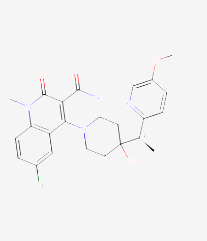 C[C@H](c1ccc(OC(F)(F)F)cn1)C1(O)CCN(c2c(C(N)=O)c(=O)n(C)c3ccc(Cl)cc23)CC1